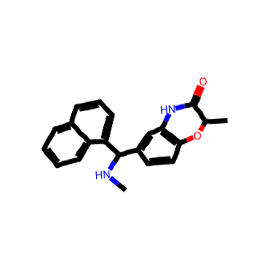 CNC(c1ccc2c(c1)NC(=O)C(C)O2)c1cccc2ccccc12